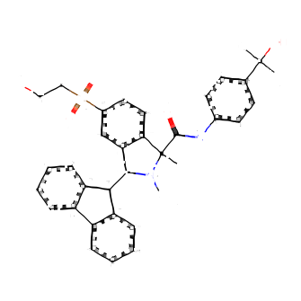 CC1(C(=O)Nc2ccc(C(O)(C(F)(F)F)C(F)(F)F)cc2)c2ccc(S(=O)(=O)CCO)cc2C(C2c3ccccc3-c3ccccc32)N1C(=O)O